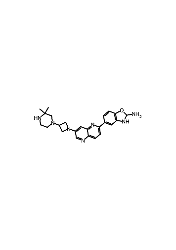 CC1(C)CN(C2CN(c3cnc4ccc(-c5ccc6c(c5)NC(N)O6)nc4c3)C2)CCN1